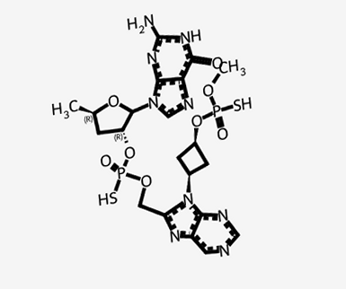 COP(=O)(S)O[C@H]1C[C@@H](n2c(COP(=O)(S)O[C@@H]3C[C@@H](C)OC3n3cnc4c(=O)[nH]c(N)nc43)nc3cncnc32)C1